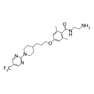 Cc1cc(OCCCC2CCN(c3ncc(C(F)(F)F)cn3)CC2)cc(C)c1C(=O)NCCN